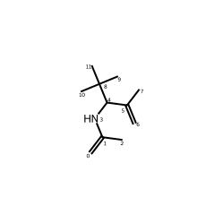 C=C(C)NC(C(=C)C)C(C)(C)C